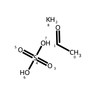 CC=O.O=S(=O)(O)O.[KH]